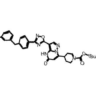 CC(C)(C)OC(=O)N1CCC(c2cc(=O)[nH]c3c(-c4nc(-c5ccc(Cc6ccccc6)cc5)no4)cnn23)CC1